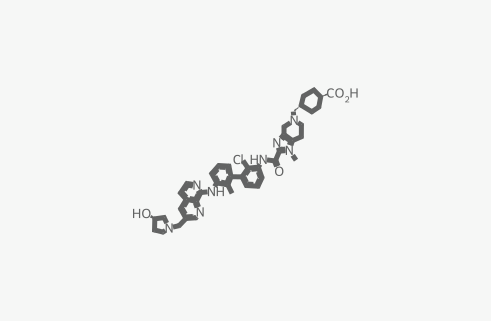 Cc1c(Nc2nccc3cc(CN4CC[C@@H](O)C4)cnc23)cccc1-c1cccc(NC(=O)c2nc3c(n2C)CCN(C[C@H]2CC[C@@H](C(=O)O)CC2)C3)c1Cl